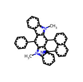 Cn1c2ccccc2c2c(-c3cccc4cccc(C#N)c34)c3c(c(-c4ccccc4)c21)c1ccccc1n3C